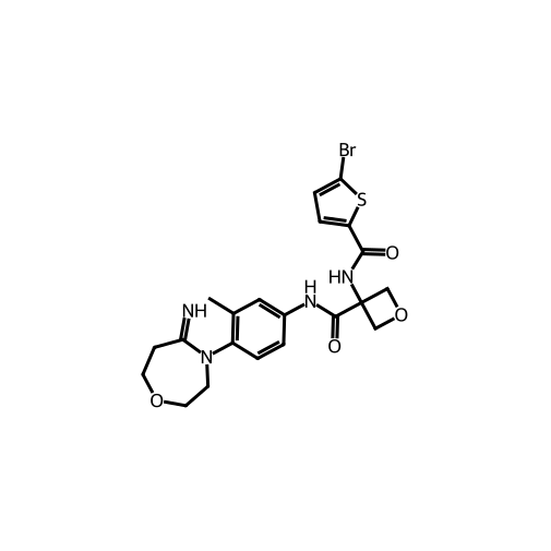 Cc1cc(NC(=O)C2(NC(=O)c3ccc(Br)s3)COC2)ccc1N1CCOCCC1=N